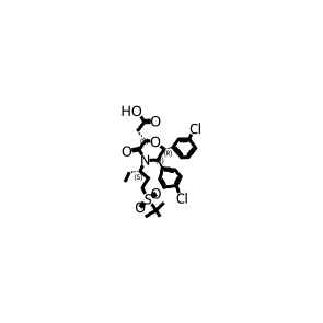 CC[C@@H](CCS(=O)(=O)C(C)(C)C)N1C(=O)[C@H](CC(=O)O)O[C@H](c2cccc(Cl)c2)[C@H]1c1ccc(Cl)cc1